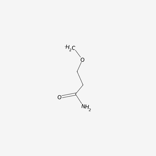 [CH2]OCCC(N)=O